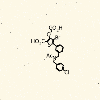 CC(=O)N(Cc1ccc(Cl)cc1)Cc1cccc(-c2sc(C(=O)O)c(OCC(=O)O)c2Br)c1